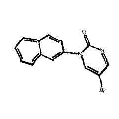 O=c1ncc(Br)cn1-c1ccc2ccccc2c1